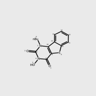 CCCCn1c(=O)n(O)c(=O)c2sc3ccccc3c21